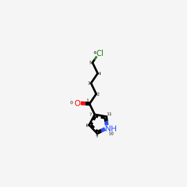 O=C(CCCCCl)c1cc[nH]c1